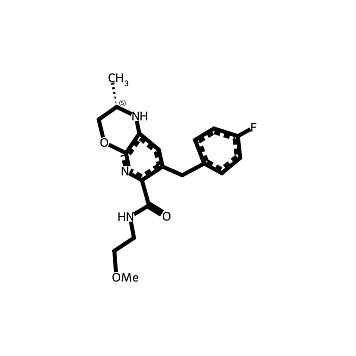 COCCNC(=O)c1nc2c(cc1Cc1ccc(F)cc1)N[C@@H](C)CO2